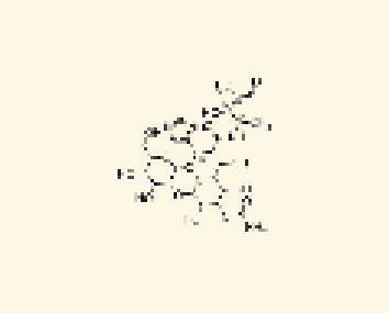 C[C@H](C=O)[C@H](O)[C@@H](C)NC(=O)C[C@@H](OC1OC(CO)C(O)C(O)C1OC1OC(CO)C(O)C(OC(N)=O)C1O)c1cnc[nH]1